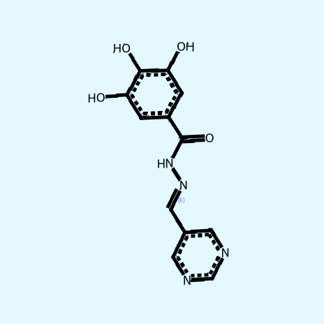 O=C(N/N=C/c1cncnc1)c1cc(O)c(O)c(O)c1